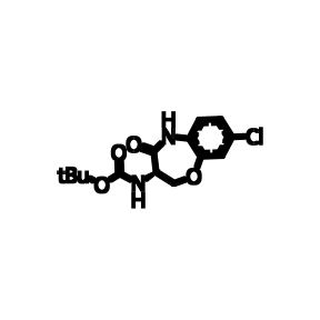 CC(C)(C)OC(=O)N[C@@H]1COc2cc(Cl)ccc2NC1=O